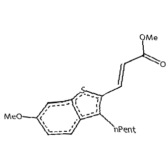 CCCCCc1c(C=CC(=O)OC)sc2cc(OC)ccc12